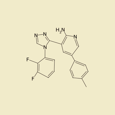 Cc1ccc(-c2cnc(N)c(-c3nncn3-c3cccc(F)c3F)c2)cc1